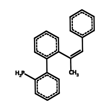 CC(=Cc1ccccc1)c1ccccc1-c1ccccc1P